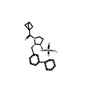 CS(=O)(=O)N[C@@H]1CCN(C(=O)C23CC(C2)C3)[C@@H]1Cc1cccc(-c2ccccc2)c1